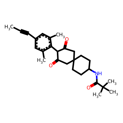 CC#Cc1cc(C)c(C2C(=O)CC3(CCC(NC(=O)C(C)(C)C)CC3)CC2=O)c(C)c1